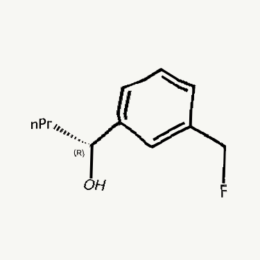 CCC[C@@H](O)c1cccc(CF)c1